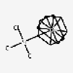 Cl[Si](Cl)(Cl)[C]12[CH]3[CH]4[CH]5[CH]1[Ru]45321678[CH]2[CH]1[CH]6[CH]7[CH]28